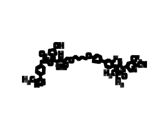 Cc1ncsc1-c1ccc(CNC(=O)[C@@H]2C[C@@H](O)CN2C(=O)[C@@H](NC(=O)COCCCCOc2ccc(-c3ccc(N4C(=S)N(c5cnc(C#N)c(C(F)(F)F)c5)C(=O)C4(C)C)c(F)c3)cc2)C(C)(C)C)cc1